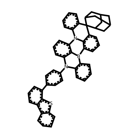 c1ccc2c(c1)B1c3cccc4c3N(c3ccccc3C43C4CC5CC(C4)CC3C5)c3cccc(c31)N2c1ccc(-c2cccc3c2sc2ccccc23)cc1